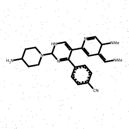 CN/C=C1/C=C(C2=CNC(N3CCC(N)CC3)N=C2c2ccc(C#N)cc2)N=CC1NC